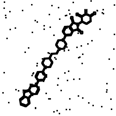 O=C1CCC(N2C(=O)c3ccc(N4CCN(CCC5CCN(c6ccc(-c7ccn8c(n7)nc7ccccc78)cn6)CC5)CC4)cc3C2=O)C(=O)N1